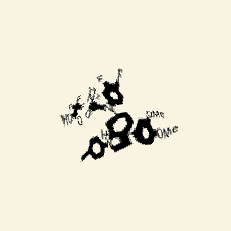 COc1ccc([C@@]23CC[C@@H](N(C(N)=O)c4ccc(F)c(F)c4)C[C@@H]2N(C2CCC(C)CC2)CC3)cc1OC.O=C(O)C(F)(F)F